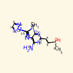 C[C@H](O)CCc1nc(N)c2nc(-n3nccn3)n(C)c2n1